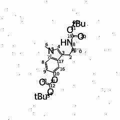 C[C@H](Cc1cn(C)c2ccc(OC(=O)OC(C)(C)C)cc12)NC(=O)OC(C)(C)C